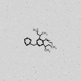 CCC(C)c1cc(Cc2ccccc2)cc(C(C)CC)c1N=C=S